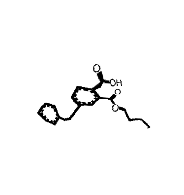 CCCCOC(=O)c1cc(Cc2ccccc2)ccc1C(=O)O